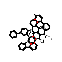 CC1C(c2cccc3c2sc2ccccc23)=CC2(C)C3=C1C(C)c1cccc(-c4ccc(F)cc4)c1C3(C)c1ccccc1N2c1ccc(-c2ccccc2)cc1-c1ccccc1